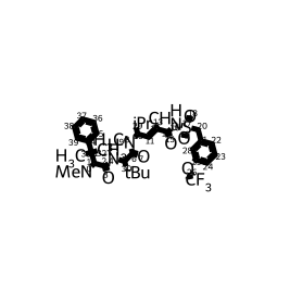 CNC(C(=O)NC(C(=O)N(C)C(/C=C(\C)C(=O)NS(=O)(=O)Cc1cccc(OC(F)(F)F)c1)C(C)C)C(C)(C)C)C(C)(C)c1ccccc1